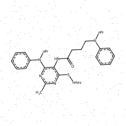 CCCCCCSc1nc(C)nc(N(CCC)c2ccccc2)c1NC(=O)CCCN(CCC)c1ccccc1